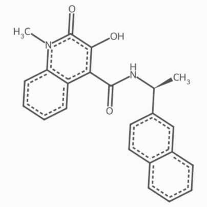 C[C@H](NC(=O)c1c(O)c(=O)n(C)c2ccccc12)c1ccc2ccccc2c1